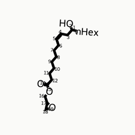 CCCCCCC(O)C/C=C\CCCCCCCC(=O)OCC1CO1